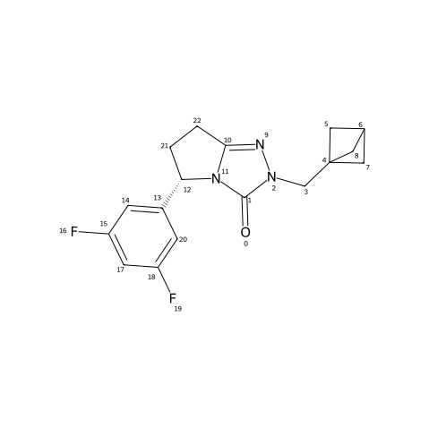 O=c1n(CC23CC(C2)C3)nc2n1[C@H](c1cc(F)cc(F)c1)CC2